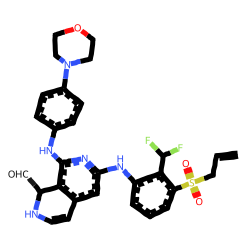 C=CCS(=O)(=O)c1cccc(Nc2cc3c(c(Nc4ccc(N5CCOCC5)cc4)n2)C(C=O)NC=C3)c1C(F)F